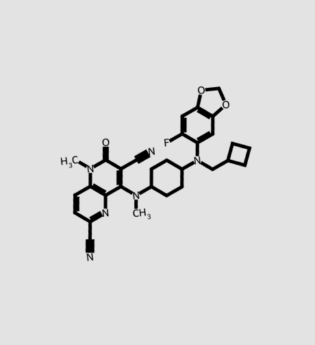 CN(c1c(C#N)c(=O)n(C)c2ccc(C#N)nc12)C1CCC(N(CC2CCC2)c2cc3c(cc2F)OCO3)CC1